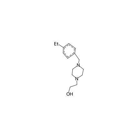 CCc1ccc(CN2CCN(CCO)CC2)cc1